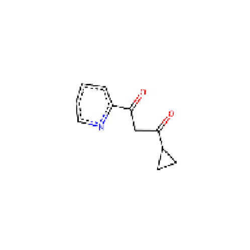 O=C(CC(=O)C1CC1)c1ccccn1